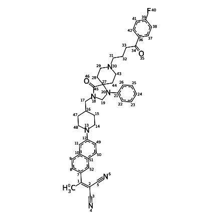 CC(=C(C#N)C#N)c1ccc2cc(N3CCC(CN4CN(c5ccccc5)C5(CCN(CCCC(=O)c6ccc(F)cc6)CC5)C4=O)CC3)ccc2c1